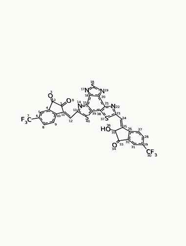 O=C1C(=O)c2cc(C(F)(F)F)ccc2/C1=C/c1nc2c3nsnc3c3nc(/C=C4/c5ccc(C(F)(F)F)cc5C(=O)C4O)sc3c2s1